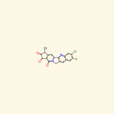 CC[C]1C(=O)C(=O)c2c1cc1n(c2=O)Cc2cc3cc(F)c(Cl)cc3nc2-1